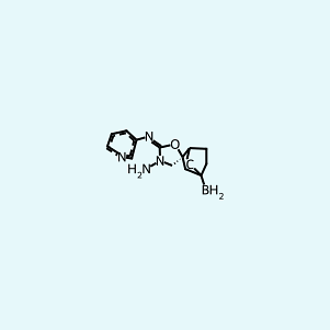 BC12CCC(CC1)[C@@]1(CN(N)/C(=N\c3cccnc3)O1)C2